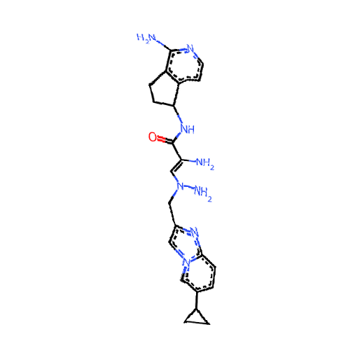 N/C(=C\N(N)Cc1cn2cc(C3CC3)ccc2n1)C(=O)NC1CCc2c1ccnc2N